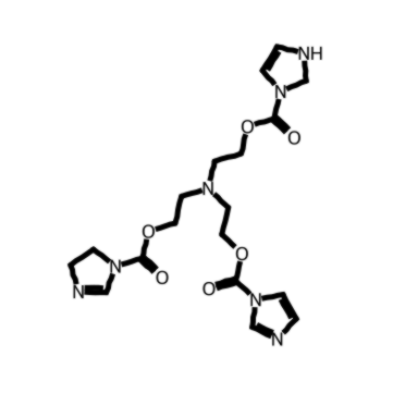 O=C(OCCN(CCOC(=O)N1C=CNC1)CCOC(=O)n1ccnc1)N1C=NCC1